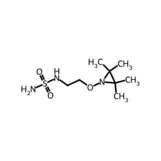 CC1(C)N(OCCNS(N)(=O)=O)C1(C)C